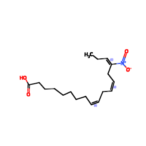 CC/C=C(\C/C=C\C/C=C\CCCCCCCC(=O)O)[N+](=O)[O-]